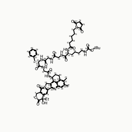 CC[C@@]1(O)C(=O)OCc2c1cc1n(c2=O)Cc2c-1nc1cc(F)c(C)c3c1c2[C@@H](NC(=O)CNC(=O)[C@H](Cc1ccccc1)NC(=O)CNC(=O)CNC(=O)[C@H](CCCCNC(=O)OC(C)(C)C)NC(=O)CCCCCN1C(=O)C=CC1=O)CC3